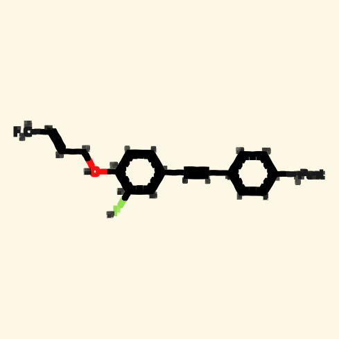 CCCCCc1ccc(C#Cc2ccc(OCC=CC(F)(F)F)c(F)c2)cc1